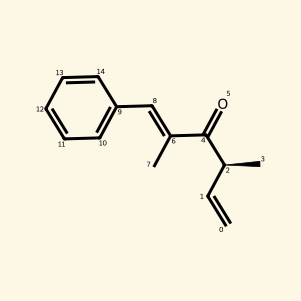 C=C[C@H](C)C(=O)/C(C)=C/c1ccccc1